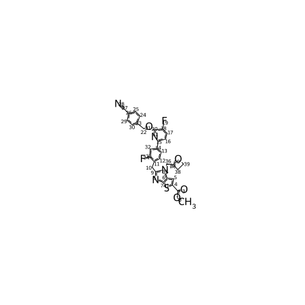 COC(=O)c1cc2c(nc(Cc3ccc(-c4ccc(F)c(OCc5ccc(C#N)cc5)n4)cc3F)n2C[C@@H]2CCO2)s1